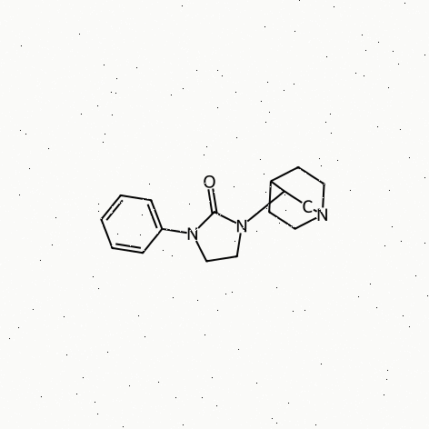 O=C1N(c2ccccc2)CCN1C1CN2CCC1CC2